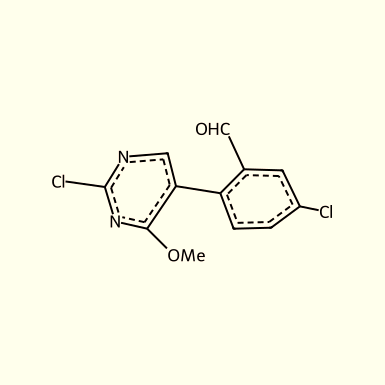 COc1nc(Cl)ncc1-c1ccc(Cl)cc1C=O